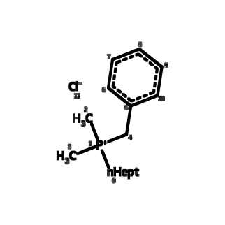 CCCCCCC[P+](C)(C)Cc1ccccc1.[Cl-]